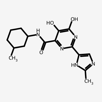 Cc1ncc(-c2nc(O)c(O)c(C(=O)NC3CCCC(C)C3)n2)[nH]1